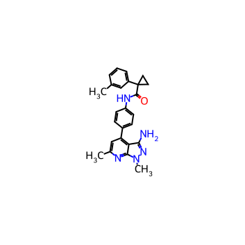 Cc1cccc(C2(C(=O)Nc3ccc(-c4cc(C)nc5c4c(N)nn5C)cc3)CC2)c1